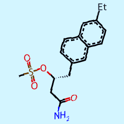 CCc1ccc2cc(C[C@H](CC(N)=O)OS(C)(=O)=O)ccc2c1